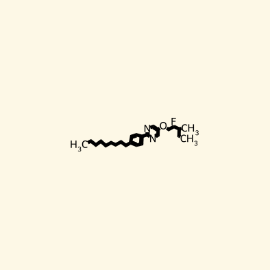 CCCCCCCCCc1ccc(-c2ncc(OCC(F)C(C)CC)cn2)cc1